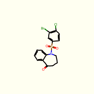 O=C1CCCN(S(=O)(=O)c2ccc(Cl)c(Br)c2)c2ccccc21